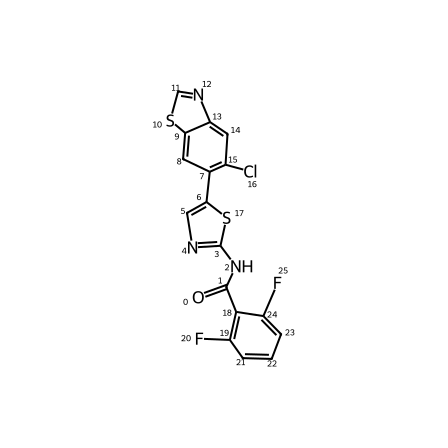 O=C(Nc1ncc(-c2cc3scnc3cc2Cl)s1)c1c(F)cccc1F